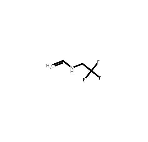 C=CNCC(F)(F)F